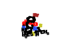 Cc1noc(-c2ccc(Br)cc2)c1[C@@]1(C(=O)O)N2C(=S)[C@@H](C)[C@H]2SC1(C)C